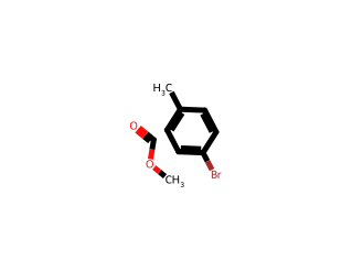 COC=O.Cc1ccc(Br)cc1